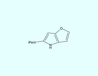 CCCC(C)c1cc2occc2[nH]1